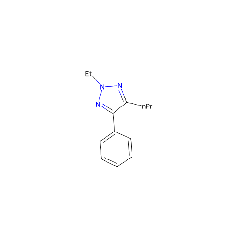 CCCc1nn(CC)nc1-c1ccccc1